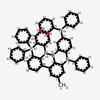 Cc1cc2c3c(c1)N(c1ccccc1)c1ccc(N(c4ccccc4)c4ccccc4)cc1B3N1c3ccccc3S(c3ccccc3)(c3ccccc3)c3cccc-2c31